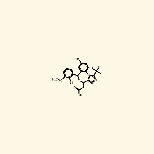 COc1cccc(C2OC(CC(=O)O)c3nnc(C(F)(F)F)n3-c3ccc(Br)cc32)c1Cl